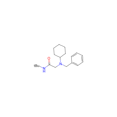 CC(C)(C)NC(=O)CN(Cc1ccccc1)C1CCCCC1